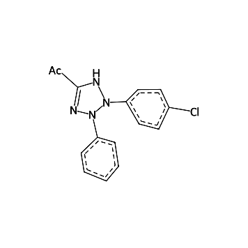 CC(=O)C1=NN(c2ccccc2)N(c2ccc(Cl)cc2)N1